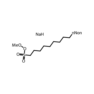 CCCCCCCCCCCCCCCCCCS(=O)(=O)OOC.[NaH]